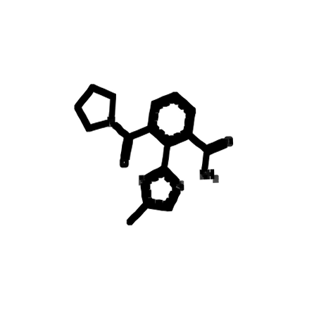 Cc1csc(-c2c(C(N)=O)cccc2C(=O)N2CCCC2)n1